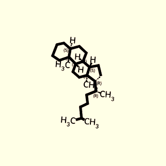 CC(C)CCC[C@@H](C)[C@H]1CC[C@H]2[C@@H]3CC[C@@H]4CCCC[C@]4(C)[C@H]3CC[C@]12C